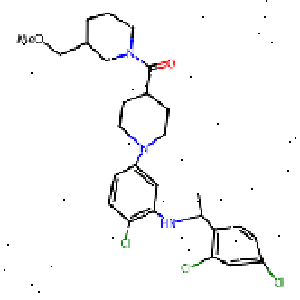 COCC1CCCN(C(=O)C2CCN(c3ccc(Cl)c(NC(C)c4ccc(Cl)cc4Cl)c3)CC2)C1